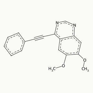 COc1cc2ncnc(C#Cc3ccccc3)c2cc1OC